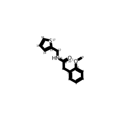 COc1ccccc1CC(=O)NCc1cccs1